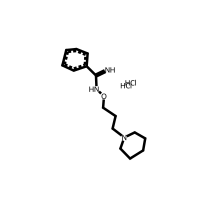 Cl.Cl.N=C(NOCCCN1CCCCC1)c1ccccc1